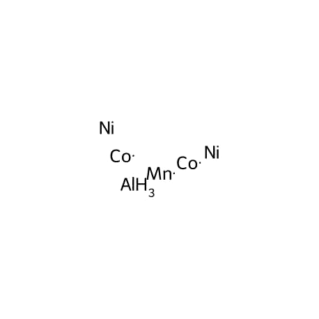 [AlH3].[Co].[Co].[Mn].[Ni].[Ni]